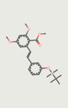 COC(=O)c1c(C=Cc2cccc(O[Si](C)(C)C(C)(C)C)c2)cc(OC)cc1OC